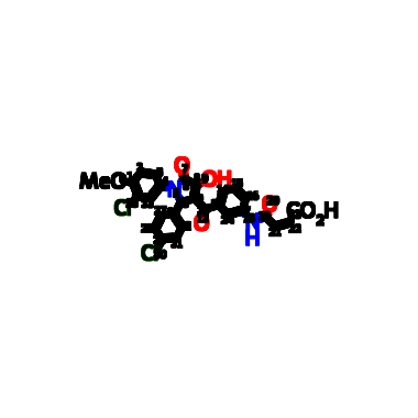 COc1ccc(N2C(=O)C(O)=C(C(=O)c3cccc(NC(=O)/C=C\C(=O)O)c3)C2c2ccc(Cl)cc2)cc1Cl